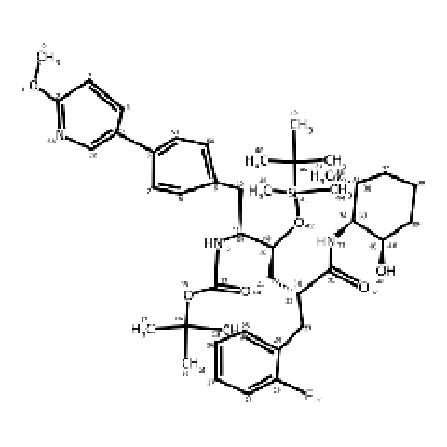 COc1ccc(-c2ccc(C[C@H](NC(=O)OC(C)(C)C)[C@H](C[C@@H](Cc3ccccc3F)C(=O)N[C@H]3[C@H](C)CCC[C@H]3O)O[Si](C)(C)C(C)(C)C)cc2)cn1